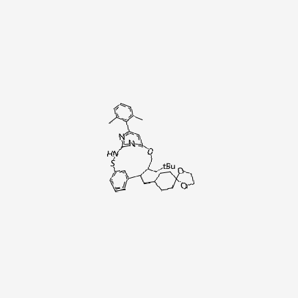 Cc1cccc(C)c1-c1cc2nc(n1)NSc1cccc(c1)C(CC1CCC3(CC1)OCCO3)C(CC(C)(C)C)CO2